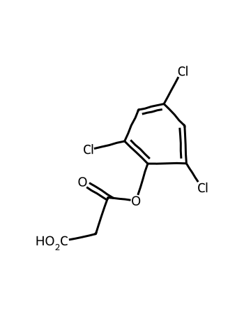 O=C(O)CC(=O)Oc1c(Cl)cc(Cl)cc1Cl